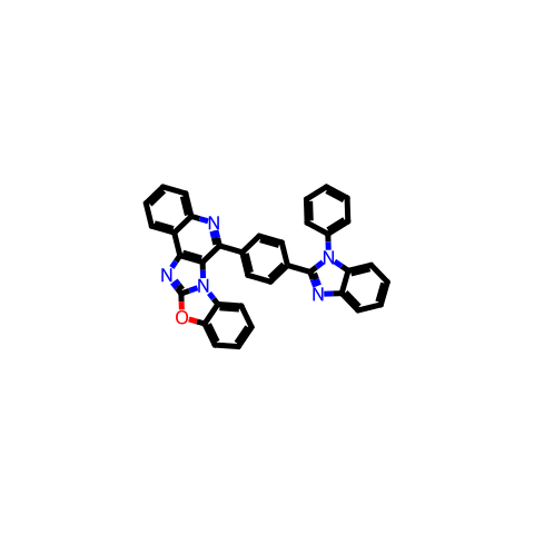 c1ccc(-n2c(-c3ccc(-c4nc5ccccc5c5nc6oc7ccccc7n6c45)cc3)nc3ccccc32)cc1